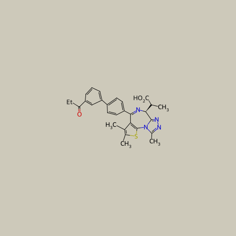 CCC(=O)c1cccc(-c2ccc(C3=N[C@@H](C(C)C(=O)O)c4nnc(C)n4-c4sc(C)c(C)c43)cc2)c1